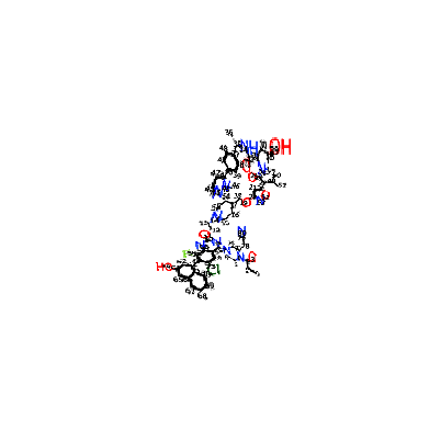 C=CC(=O)N1CCN(c2nc(OCCN3CCC(COc4cc([C@@H](C(=O)N5C[C@H](O)C[C@H]5C(=O)N[C@@H](C)c5ccc(-c6ccnn6C)cc5)C(C)C)on4)CC3)nc3c(F)c(-c4cc(O)cc5ccccc45)c(Cl)cc23)C[C@@H]1CC#N